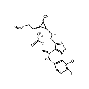 COCCN1C(NCc2nonc2/C(=N\OC(=O)C(F)(F)F)Nc2ccc(F)c(Cl)c2)N1C#N